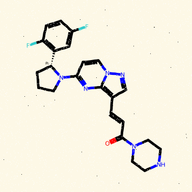 O=C(C=Cc1cnn2ccc(N3CCC[C@@H]3c3cc(F)ccc3F)nc12)N1CCNCC1